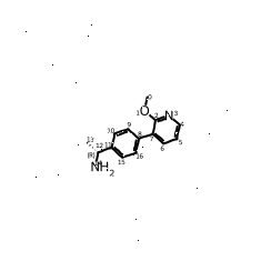 COc1ncccc1-c1ccc([C@@H](C)N)cc1